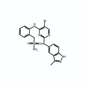 Cc1n[nH]c2ccc(Nc3ncc(Br)c(Nc4ccccc4CS(N)(=O)=O)n3)cc12